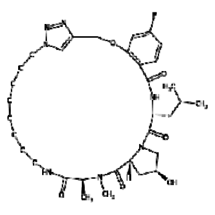 CC(C)C[C@H]1NC(=O)c2ccc(F)cc2OCc2cn(nn2)CCCCCCCCNC(=O)[C@H](C)N(C)C(=O)[C@H]2C[C@H](O)CN2C1=O